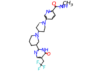 CNC(=O)c1ccc(N2CCC(N3CCCC(c4ncc(CC(F)(F)F)c(=O)[nH]4)C3)CC2)cn1